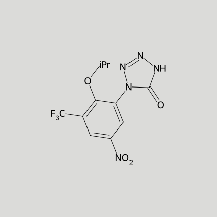 CC(C)Oc1c(-n2nn[nH]c2=O)cc([N+](=O)[O-])cc1C(F)(F)F